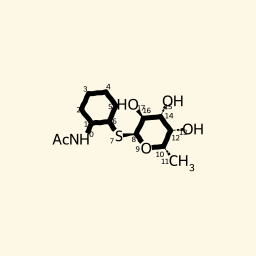 CC(=O)NC1CCCCC1S[C@@H]1O[C@@H](C)[C@@H](O)[C@@H](O)[C@@H]1O